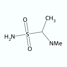 CNC(C)S(N)(=O)=O